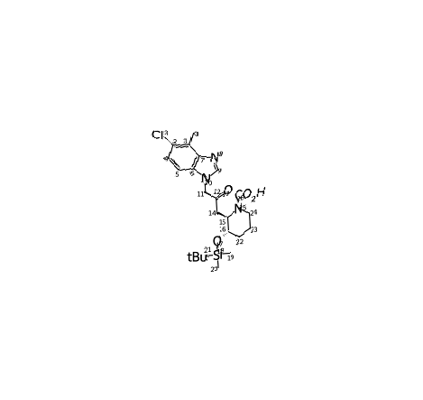 Cc1c(Cl)ccc2c1ncn2CC(=O)C[C@@H]1[C@@H](O[Si](C)(C)C(C)(C)C)CCCN1C(=O)O